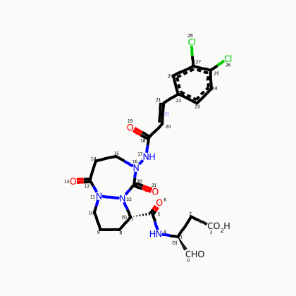 O=C[C@H](CC(=O)O)NC(=O)[C@@H]1CCCN2C(=O)CCN(NC(=O)/C=C/c3ccc(Cl)c(Cl)c3)C(=O)N12